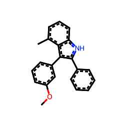 COc1cccc(-c2c(-c3ccccc3)[nH]c3cccc(C)c23)c1